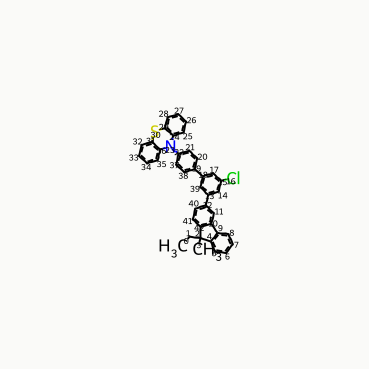 CCC1(C)c2ccccc2-c2cc(-c3cc(Cl)cc(-c4ccc(N5c6ccccc6Sc6ccccc65)cc4)c3)ccc21